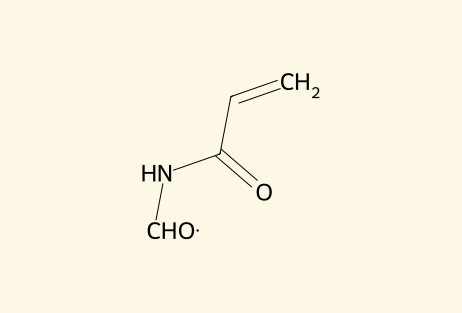 C=CC(=O)N[C]=O